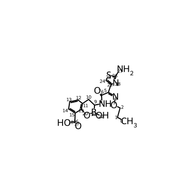 CCCON=C(C(=O)NC1Cc2cccc(C(=O)O)c2OB1O)c1csc(N)n1